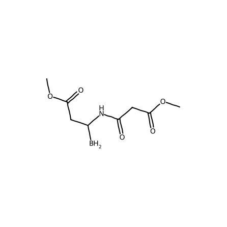 BC(CC(=O)OC)NC(=O)CC(=O)OC